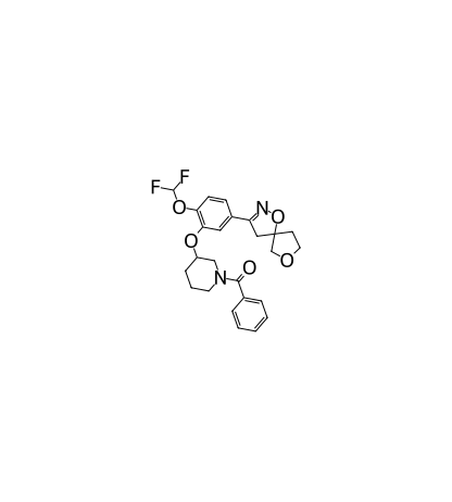 O=C(c1ccccc1)N1CCCC(Oc2cc(C3=NOC4(CCOC4)C3)ccc2OC(F)F)C1